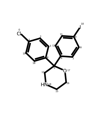 Clc1ccc(C2(c3ccc(I)cc3)CNCCO2)cc1